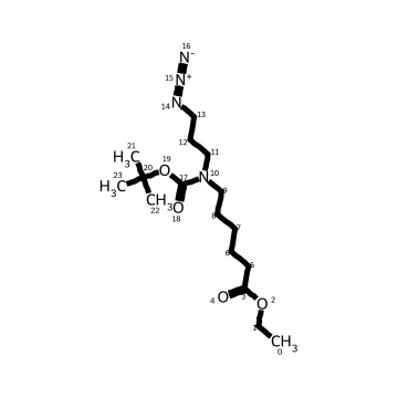 CCOC(=O)CCCCCN(CCCN=[N+]=[N-])C(=O)OC(C)(C)C